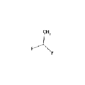 CC(F)F